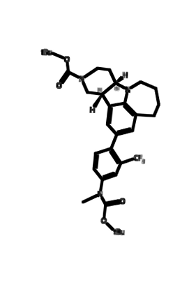 CN(C(=O)OC(C)(C)C)c1ccc(-c2cc3c4c(c2)[C@@H]2CN(C(=O)OC(C)(C)C)CC[C@@H]2N4CCCC3)c(C(F)(F)F)c1